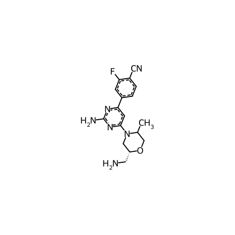 CC1CO[C@H](CN)CN1c1cc(-c2ccc(C#N)c(F)c2)nc(N)n1